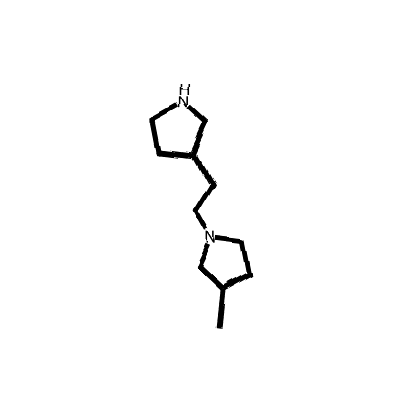 CC1CCN(CCC2CCNC2)C1